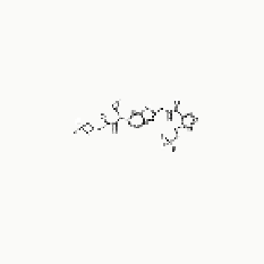 O=C(CC1CC(F)(F)C1)NC(c1ccn2cc(CNC(=O)c3conc3CCC(F)(F)F)nc2n1)C1CC1